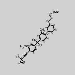 CCC1(C#Cc2ccc(C(CC)(CC)c3ccc(-c4cncc(CCOOC)c4)c(C)c3)cc2C)CO1